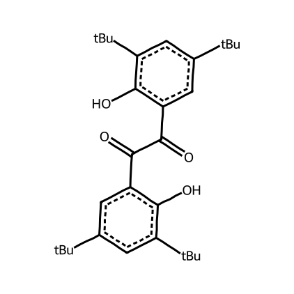 CC(C)(C)c1cc(C(=O)C(=O)c2cc(C(C)(C)C)cc(C(C)(C)C)c2O)c(O)c(C(C)(C)C)c1